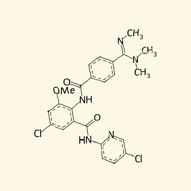 C/N=C(/c1ccc(C(=O)Nc2c(OC)cc(Cl)cc2C(=O)Nc2ccc(Cl)cn2)cc1)N(C)C